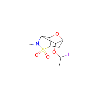 CC(I)OC1C2CC3C(O2)C1N(C)S3(=O)=O